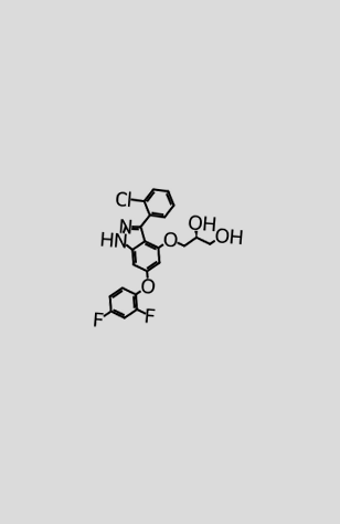 OC[C@H](O)COc1cc(Oc2ccc(F)cc2F)cc2[nH]nc(-c3ccccc3Cl)c12